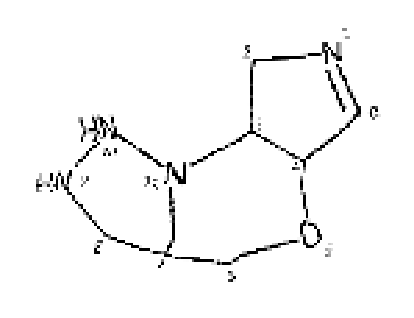 C1=NCC2C1OCC1CNNN12